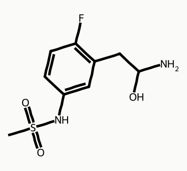 CS(=O)(=O)Nc1ccc(F)c(CC(N)O)c1